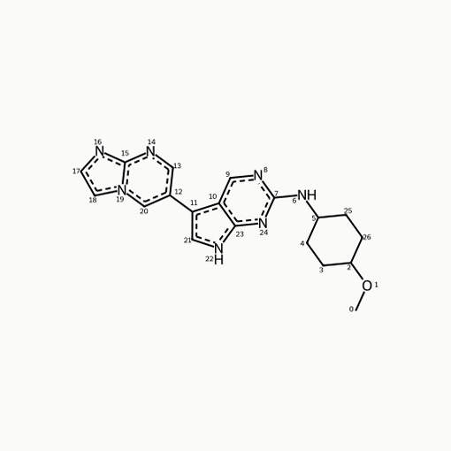 COC1CCC(Nc2ncc3c(-c4cnc5nccn5c4)c[nH]c3n2)CC1